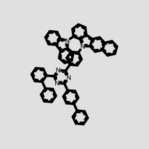 c1ccc(-c2ccc(-c3nc(-c4ccc(-n5c6cc7ccccc7cc6c6cccc(-n7c8ccccc8c8ccccc87)c65)cc4)nc(-c4ccccc4-c4ccccc4)n3)cc2)cc1